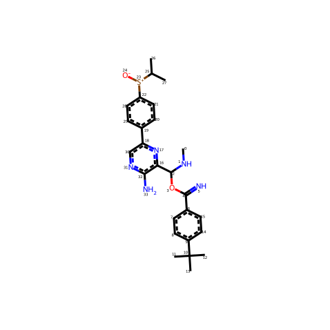 CNC(OC(=N)c1ccc(C(C)(C)C)cc1)c1nc(-c2ccc([S+]([O-])C(C)C)cc2)cnc1N